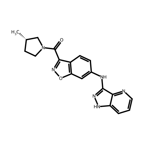 C[C@H]1CCN(C(=O)c2noc3cc(Nc4n[nH]c5cccnc45)ccc23)C1